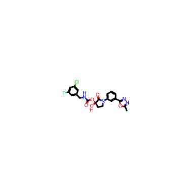 Cc1nnc(-c2cccc(N3CCC(O)(OC(=O)NCc4cc(F)cc(Cl)c4)C3=O)c2)o1